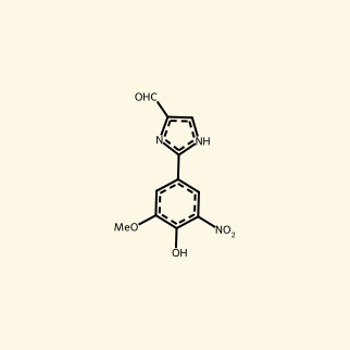 COc1cc(-c2nc(C=O)c[nH]2)cc([N+](=O)[O-])c1O